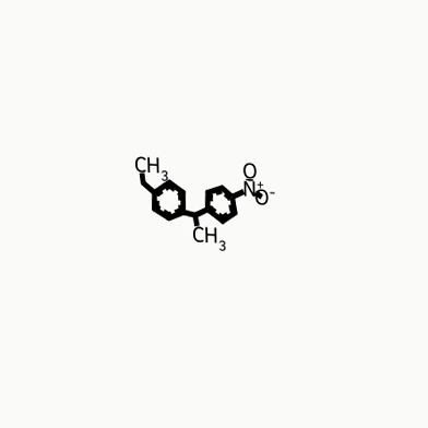 CCc1ccc(C(C)c2ccc([N+](=O)[O-])cc2)cc1